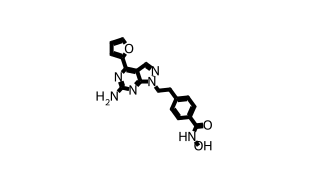 Nc1nc(-c2ccco2)c2cnn(CCc3ccc(C(=O)NO)cc3)c2n1